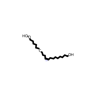 OCCCCCCCC/C=C\CCCCCCCCCCOO